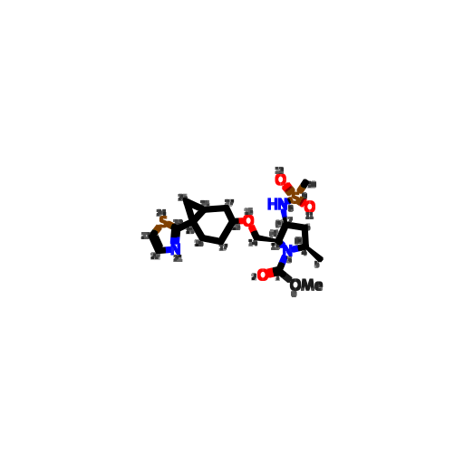 COC(=O)N1[C@H](C)C[C@H](NS(C)(=O)=O)[C@@H]1COC1CCC2(c3nccs3)CC2C1